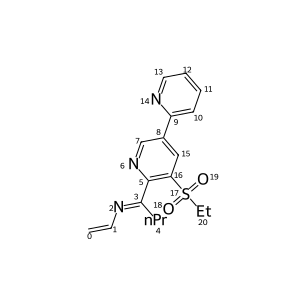 C=C/N=C(\CCC)c1ncc(-c2ccccn2)cc1S(=O)(=O)CC